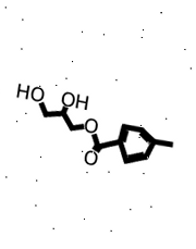 Cc1ccc(C(=O)OCC(O)CO)cc1